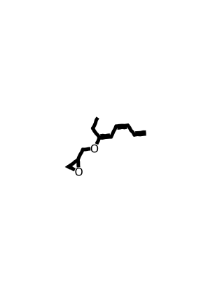 C=C/C=C\C=C(/CC)OCC1CO1